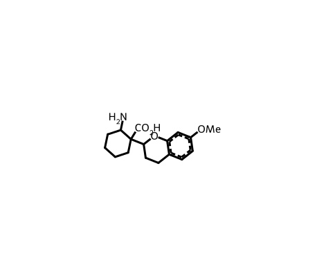 COc1ccc2c(c1)OC(C1(C(=O)O)CCCCC1N)CC2